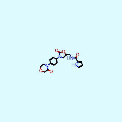 O=C(NC[C@H]1CN(c2ccc(N3CCOCC3=O)cc2)C(=O)O1)c1ccc[nH]1